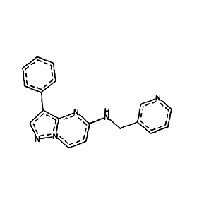 c1ccc(-c2cnn3ccc(NCc4cccnc4)nc23)cc1